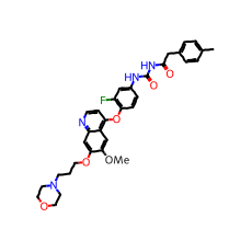 COc1cc2c(Oc3ccc(NC(=O)NC(=O)Cc4ccc(C)cc4)cc3F)ccnc2cc1OCCCN1CCOCC1